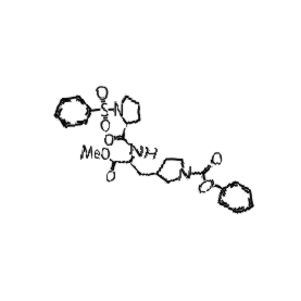 COC(=O)[C@H](CC1CCN(C(=O)Oc2ccccc2)C1)NC(=O)[C@@H]1CCCN1S(=O)(=O)c1ccccc1